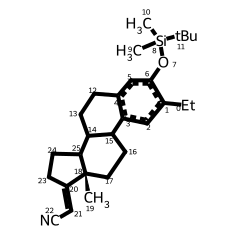 CCc1cc2c(cc1O[Si](C)(C)C(C)(C)C)CCC1C2CC[C@]2(C)C(=CC#N)CCC12